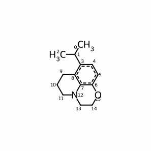 CC(C)c1ccc2c3c1CCCN3CCO2